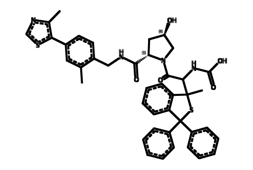 Cc1cc(-c2scnc2C)ccc1CNC(=O)[C@@H]1C[C@@H](O)CN1C(=O)C(NC(=O)O)C(C)(C)SC(c1ccccc1)(c1ccccc1)c1ccccc1